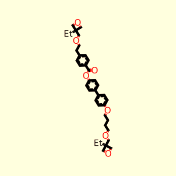 CCC1(COCCCCOc2ccc(-c3ccc(OC(=O)c4ccc(CCOCC5(CC)COC5)cc4)cc3)cc2)COC1